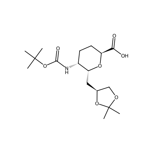 CC(C)(C)OC(=O)N[C@@H]1CC[C@@H](C(=O)O)O[C@@H]1C[C@H]1COC(C)(C)O1